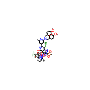 COc1ccc(CN(Cc2ccc(OC)cc2)c2nc(C)cc(-c3nc4c5c(nc(S(C)(=O)=O)nc5c3F)N3C[C@H]5CC[C@@H]([C@H]3[C@H](C(F)(F)F)O4)N5C(=O)OC(C)(C)C)c2F)cc1